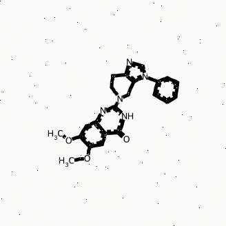 COc1cc2nc(N3CCc4ncn(-c5ccccc5)c4C3)[nH]c(=O)c2cc1OC